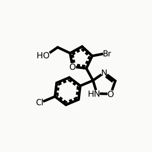 OCc1cc(Br)c(C2(c3ccc(Cl)cc3)N=CON2)o1